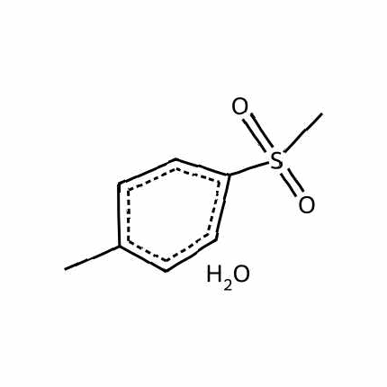 Cc1ccc(S(C)(=O)=O)cc1.O